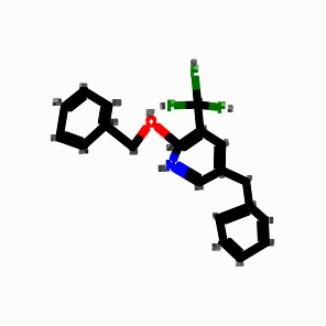 FC(F)(F)c1cc(Cc2c[c]ccc2)cnc1OCc1ccccc1